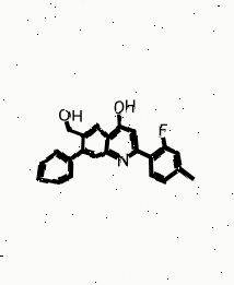 Cc1ccc(-c2cc(O)c3cc(CO)c(-c4ccccc4)cc3n2)c(F)c1